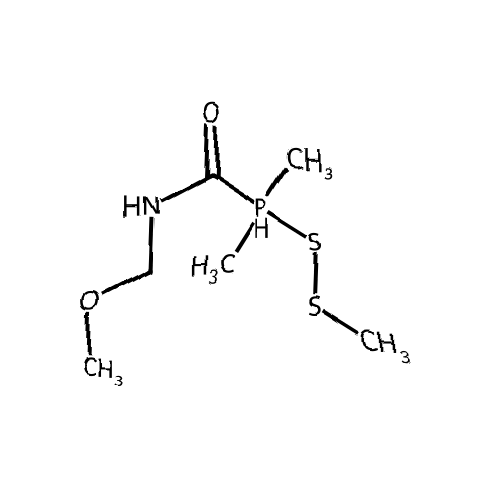 COCNC(=O)[PH](C)(C)SSC